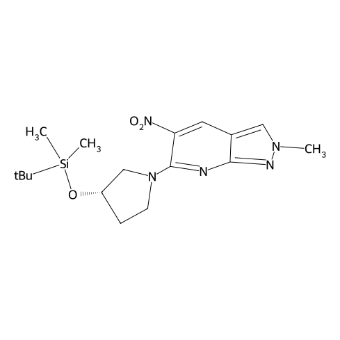 Cn1cc2cc([N+](=O)[O-])c(N3CC[C@H](O[Si](C)(C)C(C)(C)C)C3)nc2n1